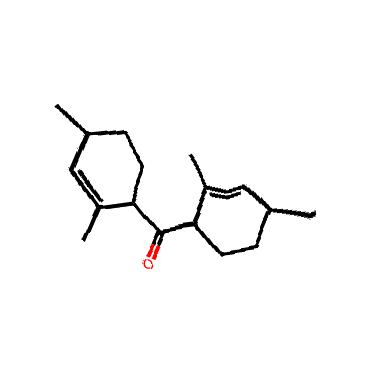 CC1=CC(C)CCC1C(=O)C1CCC(C)C=C1C